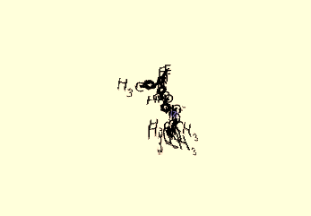 Cc1ccc(-c2cc(C(F)(F)F)nn2-c2ccc(S(=O)(=O)NC(=O)C3CCCN(/[N+]([O-])=N/OC(C)OC(=O)C(C)(C)C)C3)cc2)cc1